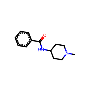 CN1CCC(NC(=O)c2ccccc2)CC1